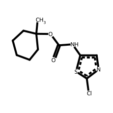 CC1(OC(=O)Nc2cnc(Cl)s2)CCCCC1